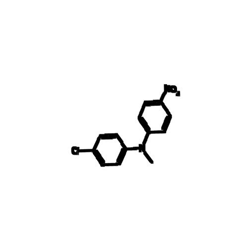 CN(c1ccc(Cl)cc1)c1ccc([N+](=O)[O-])cc1